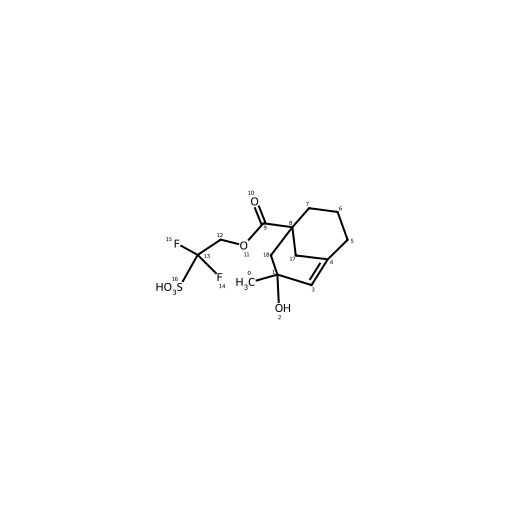 CC1(O)C=C2CCCC(C(=O)OCC(F)(F)S(=O)(=O)O)(C2)C1